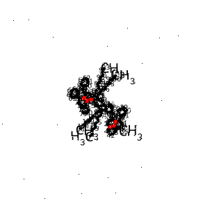 CCCCCCCCC1(CCCCCCCC)c2cc(N(c3ccccc3)c3ccccc3-c3cc(C)c4c(c3)C3CCC4C3)ccc2-c2cc3c(cc21)-c1ccc(N(c2ccccc2)c2ccccc2-c2cc(C)c4c(c2)C2CCC4C2)cc1C3(CCCCCCCC)CCCCCCCC